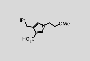 COCCn1cc(CC(C)C)c(C(=O)O)c1